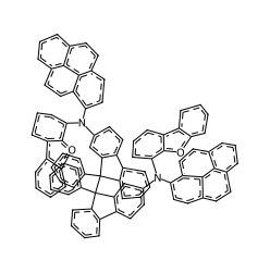 c1ccc(C2(C3(c4ccccc4)c4ccccc4-c4ccc(N(c5ccc6ccc7cccc8ccc5c6c78)c5cccc6c5oc5ccccc56)cc43)c3ccccc3-c3ccc(N(c4ccc5ccc6cccc7ccc4c5c67)c4cccc5c4oc4ccccc45)cc32)cc1